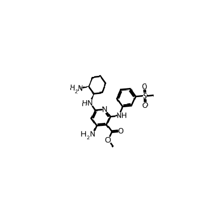 COC(=O)c1c(N)cc(N[C@@H]2CCCC[C@@H]2N)nc1Nc1cccc(S(C)(=O)=O)c1